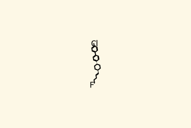 FCCCC=C[C@H]1CC[C@H](c2ccc(-c3ccc(Cl)cc3)cc2)CC1